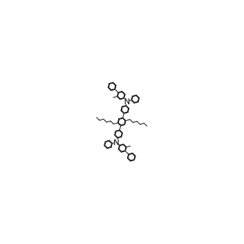 CCCCCCc1cc(-c2ccc(N(c3ccccc3)c3ccc(-c4ccccc4)c(C)c3)cc2)c(CCCCCC)cc1-c1ccc(N(c2ccccc2)c2ccc(-c3ccccc3)c(C)c2)cc1